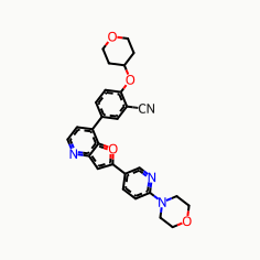 N#Cc1cc(-c2ccnc3cc(-c4ccc(N5CCOCC5)nc4)oc23)ccc1OC1CCOCC1